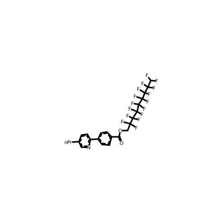 CCCc1ccc(-c2ccc(C(=O)OCC(F)(F)C(F)(F)C(F)(F)C(F)(F)C(F)(F)C(F)(F)C(F)(F)C(F)F)cc2)nc1